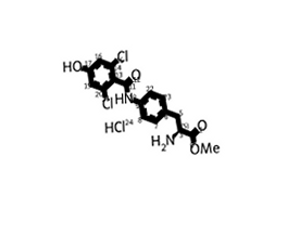 COC(=O)[C@@H](N)Cc1ccc(NC(=O)c2c(Cl)cc(O)cc2Cl)cc1.Cl